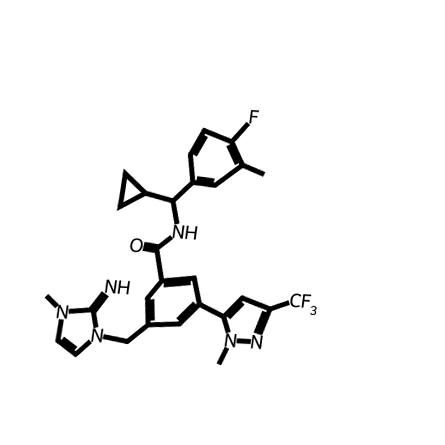 Cc1cc(C(NC(=O)c2cc(Cn3ccn(C)c3=N)cc(-c3cc(C(F)(F)F)nn3C)c2)C2CC2)ccc1F